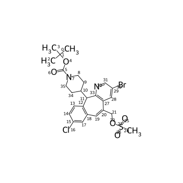 CC(C)(C)OC(=O)N1CCC(C2c3ccc(Cl)cc3C=C(COS(C)(=O)=O)c3cc(Br)cnc32)CC1